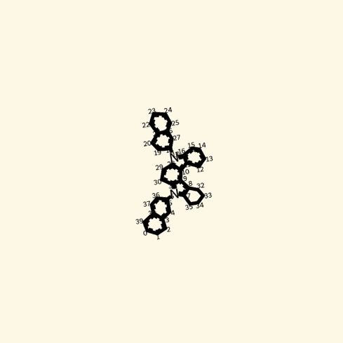 c1ccc2cc(-n3c4c(c5c6c7ccccc7n(-c7ccc8ccccc8c7)c6ccc53)CCCC4)ccc2c1